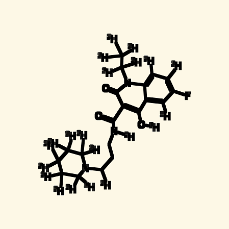 [2H]Oc1c(C(=O)N([2H])CCC([2H])N2C([2H])([2H])C([2H])([2H])C([2H])([2H])C([2H])([2H])C2([2H])[2H])c(=O)n(C([2H])([2H])C([2H])([2H])[2H])c2c([2H])c([2H])c(F)c([2H])c12